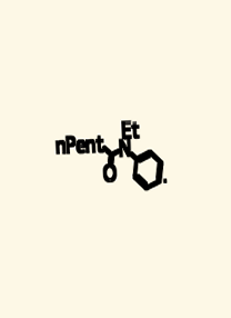 CCCCCC(=O)N(CC)c1cc[c]cc1